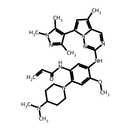 C=CC(=O)Nc1cc(Nc2ncc3c(C)cc(-c4c(C)nn(C)c4C)n3n2)c(OC)cc1N1CCC(N(C)C)CC1